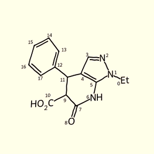 CCn1ncc2c1NC(=O)C(C(=O)O)C2c1ccccc1